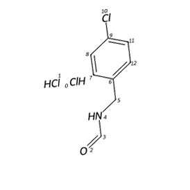 Cl.Cl.O=CNCc1ccc(Cl)cc1